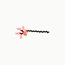 CCCCCCCCCCCCCCCCCC(=O)OP(=O)(OCC(O)CO)OCC(O)CO